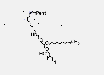 C=CCCCCCCCCOC(COCCNCCCCC/C=C\C/C=C\CCCCC)COC(O)CC(I)CCI